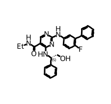 CCNC(=O)c1cnc(Nc2ccc(F)c(-c3ccccc3)c2)nc1N[C@H](CO)c1ccccc1